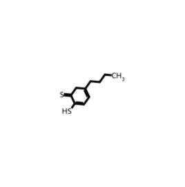 CCCCC1=CC=C(S)C(=S)C1